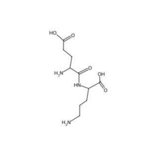 NCCCC(NC(=O)C(N)CCC(=O)O)C(=O)O